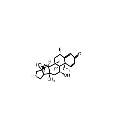 CCC(=O)[C@@]12CNC[C@@H]1C[C@H]1[C@@H]3C[C@H](F)C4=CC(=O)C=C[C@]4(C)[C@@]3(F)[C@@H](O)C[C@@]12C